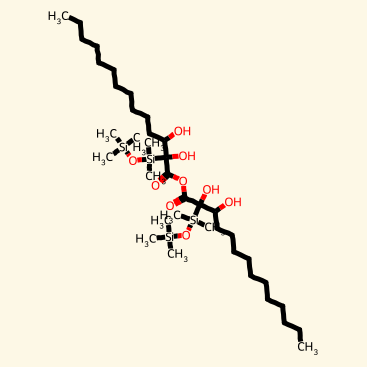 CCCCCCCCCCCC(O)C(O)(C(=O)OC(=O)C(O)(C(O)CCCCCCCCCCC)[Si](C)(C)O[Si](C)(C)C)[Si](C)(C)O[Si](C)(C)C